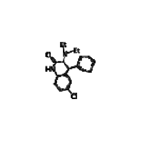 CCN(CC)C1C(=O)Nc2ccc(Cl)cc2C1c1ccccc1